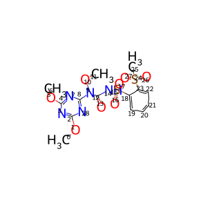 COc1nc(OC)nc(N(OC)C(=O)NS(=O)(=O)c2ccccc2S(C)(=O)=O)n1